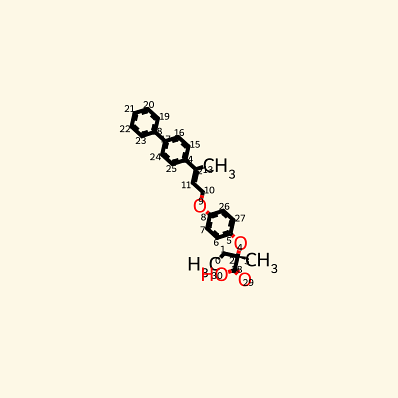 CC[C@](C)(Oc1ccc(OC/C=C(\C)c2ccc(-c3ccccc3)cc2)cc1)C(=O)O